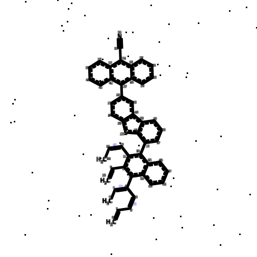 C=C/C=C\C(=C/C)c1c(C=C)c(/C=C\C)c(-c2cccc3c2sc2ccc(-c4c5ccccc5c(C#N)c5ccccc45)cc23)c2ccccc12